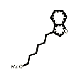 [CH2]OCCCCCCc1coc2ccccc12